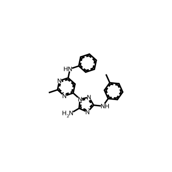 Cc1cccc(Nc2nc(N)n(-c3cc(Nc4ccccc4)nc(C)n3)n2)c1